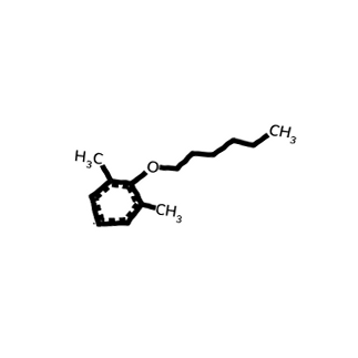 CCCCCCOc1c(C)c[c]cc1C